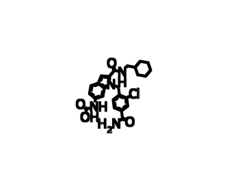 NC(=O)c1ccc(Cn2c(C(=O)NCC3CCCCC3)cc3ccc(NC(=O)O)cc32)c(Cl)c1